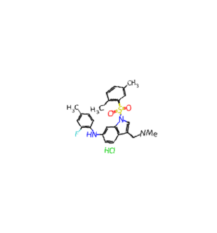 CNCc1cn(S(=O)(=O)c2cc(C)ccc2C)c2cc(Nc3ccc(C)cc3F)ccc12.Cl